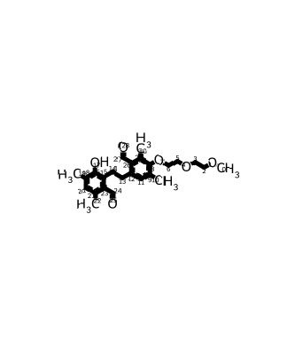 COCCOCCOc1c(C)cc(CCc2c(O)c(C)cc(C)c2C=O)c(C=O)c1C